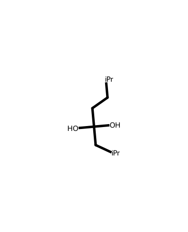 CC(C)CCC(O)(O)CC(C)C